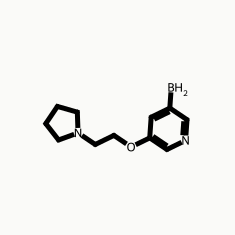 Bc1cncc(OCCN2CCCC2)c1